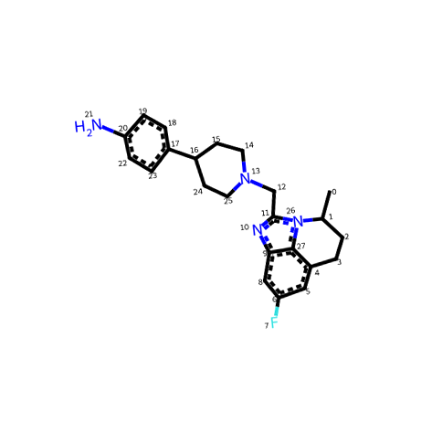 CC1CCc2cc(F)cc3nc(CN4CCC(c5ccc(N)cc5)CC4)n1c23